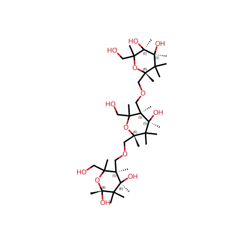 CC1(C)[C@](C)(O)[C@](C)(COC[C@]2(C)OC(C)(CO)[C@@](C)(COC[C@]3(C)OC(C)(CO)[C@@](C)(O)[C@@](C)(O)C3(C)C)[C@@](C)(O)C2(C)C)C(C)(CO)O[C@@]1(C)O